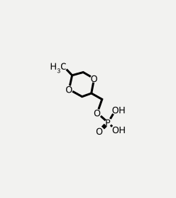 CC1COC(COP(=O)(O)O)CO1